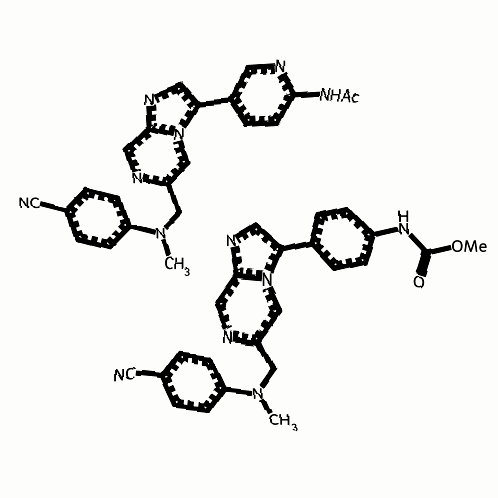 CC(=O)Nc1ccc(-c2cnc3cnc(CN(C)c4ccc(C#N)cc4)cn23)cn1.COC(=O)Nc1ccc(-c2cnc3cnc(CN(C)c4ccc(C#N)cc4)cn23)cc1